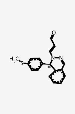 CSc1ccc([C@@H]2c3ccccc3C=NN2C=CC=O)cc1